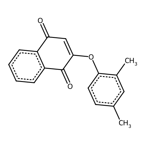 Cc1ccc(OC2=CC(=O)c3ccccc3C2=O)c(C)c1